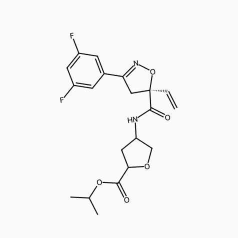 C=C[C@]1(C(=O)NC2COC(C(=O)OC(C)C)C2)CC(c2cc(F)cc(F)c2)=NO1